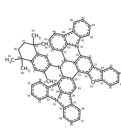 Cc1cc2c(cc1N1B3c4c(cc5c(oc6ccccc65)c4-c4cc5c6ccccc6n6c7ccccc7c(c41)c56)-n1c4ccccc4c4cccc3c41)C(C)(C)CCC2(C)C